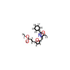 CCOC(=O)C=Cc1ccc(Cc2nc(-c3ccccc3)oc2C)o1